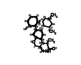 CC1C(=O)NN=C2COc3cc(-c4c(F)cccc4F)c([C@@H]4CCN(C)C[C@@H]4C)cc3N21